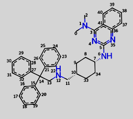 CN(C)c1nc(N[C@H]2CC[C@@H](CNCC(c3ccccc3)(c3ccccc3)c3ccccc3)CC2)nc2ccccc12